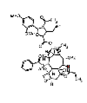 BC(=O)N1C(c2ccc(OC)cc2OC)OC(C(=O)O[C@H]2C[C@@]3(O)[C@@H](OC(=O)c4ccccc4)[C@@H]4[C@]5(OC(C)=O)CO[C@@H]5C[C@@H]5OC(C=C)O[C@@H]([C@@H](OC(C)=O)C(=C2C)C3(C)C)[C@]54C)C1CC(C)C